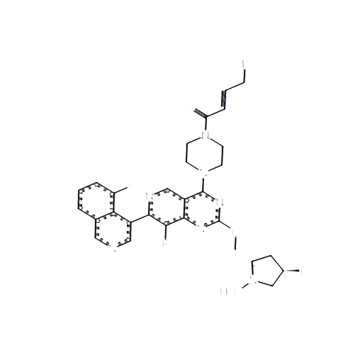 CN1C[C@H](F)C[C@H]1COc1nc(N2CCN(C(=O)/C=C/CF)CC2)c2cnc(-c3cncc4cccc(Cl)c34)c(F)c2n1